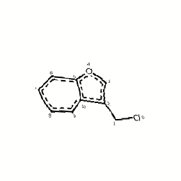 ClCc1[c]oc2ccccc12